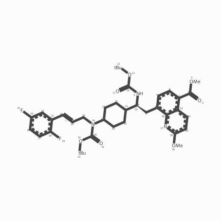 COC(=O)c1ccc(C[C@H](NC(=O)OC(C)(C)C)C2CCC(N(C/C=C/c3cc(F)ccc3F)C(=O)OC(C)(C)C)CC2)c2nc(OC)ccc12